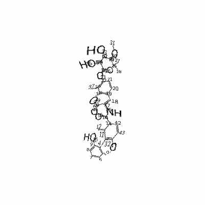 COC1=C(c2ccccc2O)C(C)C(C(=O)Nc2cc3ccc(O[C@@H]4OC(C)(C)[C@H](OC)[C@@H](O)[C@H]4O)c(C)c3oc2=O)C=C1